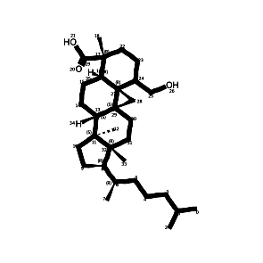 CC(C)CCC[C@@H](C)[C@H]1CC[C@@]2(C)[C@@H]3CC[C@H]4[C@](C)(C(=O)O)CCC(CO)[C@@]45C[C@@]35CC[C@]12C